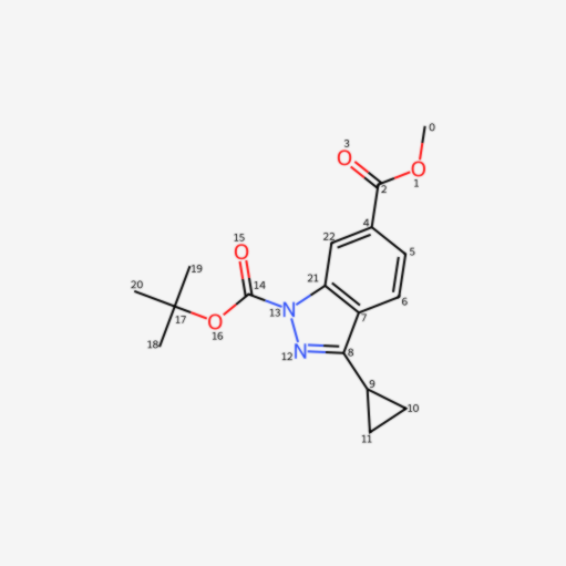 COC(=O)c1ccc2c(C3CC3)nn(C(=O)OC(C)(C)C)c2c1